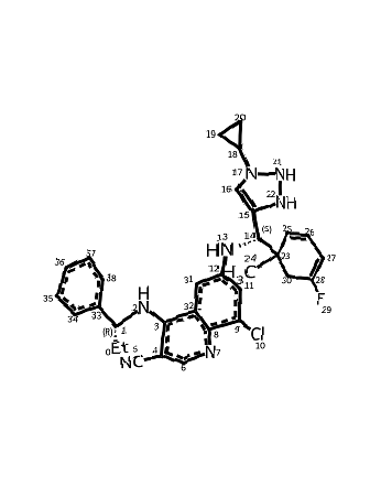 CC[C@@H](Nc1c(C#N)cnc2c(Cl)cc(N[C@H](C3=CN(C4CC4)NN3)C3(C)C=CC=C(F)C3)cc12)c1ccccc1